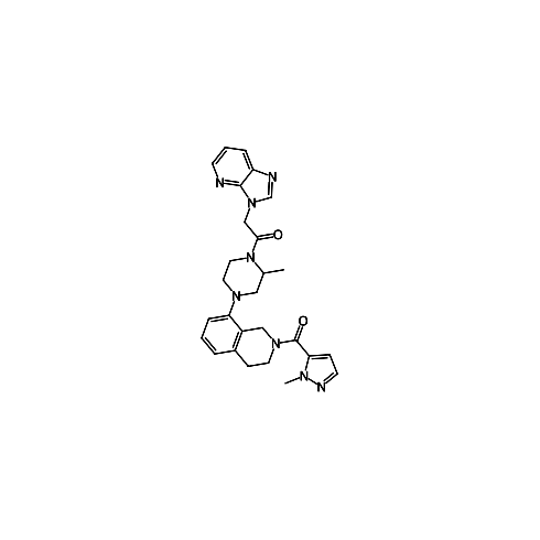 CC1CN(c2cccc3c2CN(C(=O)c2ccnn2C)CC3)CCN1C(=O)Cn1cnc2cccnc21